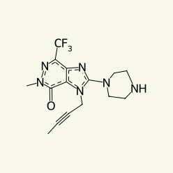 CC#CCn1c(N2CCNCC2)nc2c(C(F)(F)F)nn(C)c(=O)c21